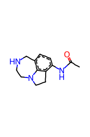 CC(=O)Nc1ccc2c3c1CCN3CCNC2